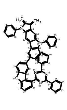 C=c1c(=C)n(-c2ccccc2)c2cc3c4cc(-c5ccc6oc7cccc(-c8nc(-c9ccccc9)nc(-c9ccccc9)n8)c7c6c5)ccc4n(-c4ccccc4)c3cc12